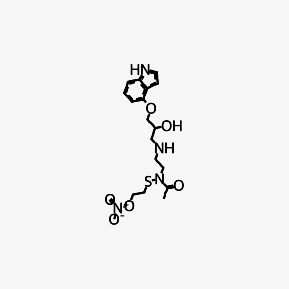 CC(=O)N(CCNCC(O)COc1cccc2[nH]ccc12)SCCO[N+](=O)[O-]